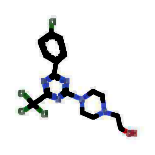 OCCN1CCN(c2nc(-c3ccc(Cl)cc3)nc(C(Cl)(Cl)Cl)n2)CC1